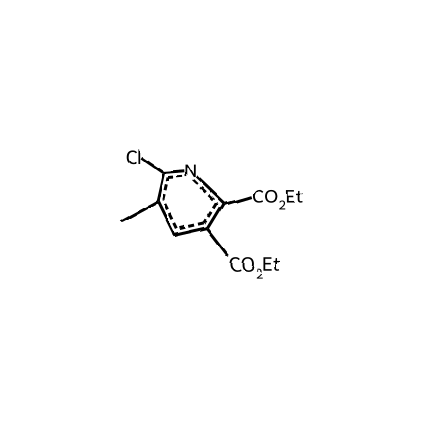 CCOC(=O)c1cc(C)c(Cl)nc1C(=O)OCC